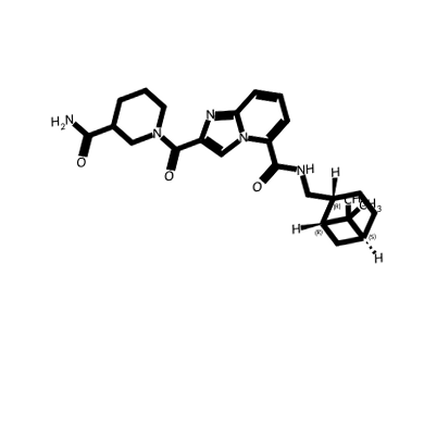 CC1(C)[C@H]2CC[C@@H](CNC(=O)c3cccc4nc(C(=O)N5CCCC(C(N)=O)C5)cn34)[C@H]1C2